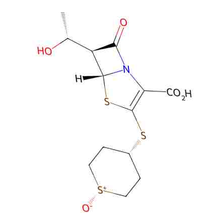 C[C@@H](O)[C@H]1C(=O)N2C(C(=O)O)=C(S[C@H]3CC[S@@+]([O-])CC3)S[C@H]12